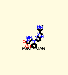 COc1cc(OC)cc(N(CC2CC(O)C(=O)N2N)c2ccc3ncc(-c4cnn(C)c4)nc3n2)c1